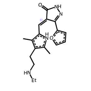 CCNCCc1c(C)[nH]c(/C=C2/C(=O)NN=C2c2ccco2)c1C